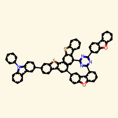 c1ccc(-n2c3ccccc3c3cc(-c4ccc5c(c4)sc4ccc(-c6ccc7oc8cccc(-c9nc(-c%10ccc%11c(c%10)oc%10ccccc%10%11)nc(-c%10cccc%11sc%12ccccc%12c%10%11)n9)c8c7c6)cc45)ccc32)cc1